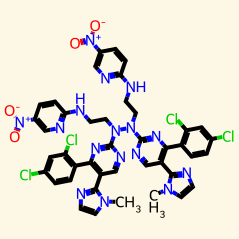 Cn1ccnc1-c1cnc(N(CCNc2ccc([N+](=O)[O-])cn2)N(CCNc2ccc([N+](=O)[O-])cn2)c2ncc(-c3nccn3C)c(-c3ccc(Cl)cc3Cl)n2)nc1-c1ccc(Cl)cc1Cl